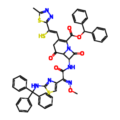 CON=C(C(=O)NC1C(=O)N2C(C(=O)OC(c3ccccc3)c3ccccc3)=C(C=C(S)c3nnc(C)s3)CC(=O)C12)c1csc(NC(c2ccccc2)(c2ccccc2)c2ccccc2)n1